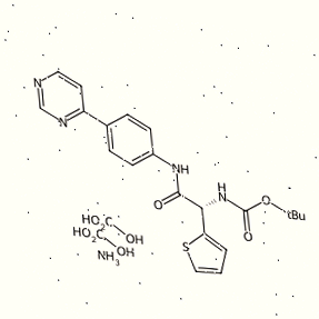 CC(C)(C)OC(=O)N[C@@H](C(=O)Nc1ccc(-c2ccncn2)cc1)c1cccs1.N.O=C(O)O.O=C(O)O